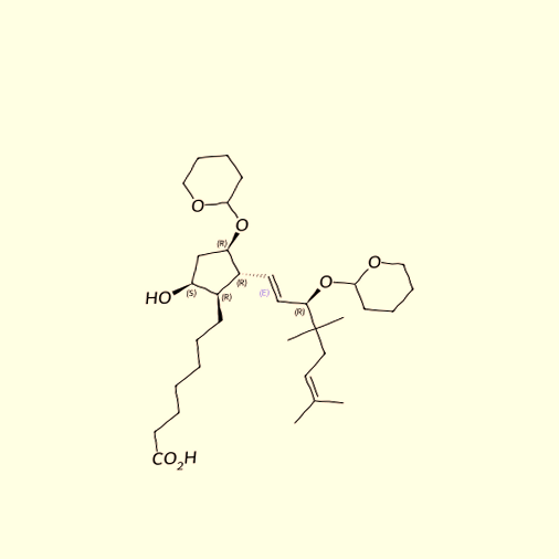 CC(C)=CCC(C)(C)[C@@H](/C=C/[C@@H]1[C@@H](CCCCCCC(=O)O)[C@@H](O)C[C@H]1OC1CCCCO1)OC1CCCCO1